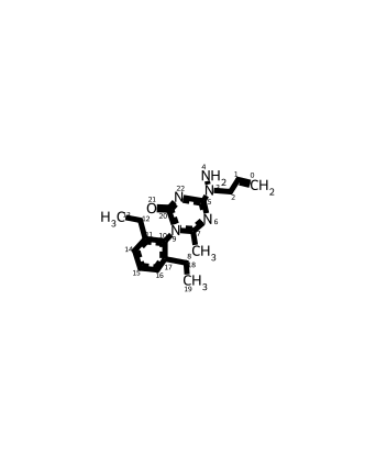 C=CCN(N)c1nc(C)n(-c2c(CC)cccc2CC)c(=O)n1